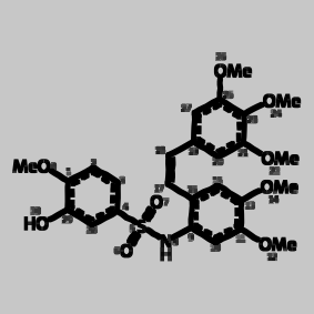 COc1ccc(S(=O)(=O)Nc2cc(OC)c(OC)cc2/C=C\c2cc(OC)c(OC)c(OC)c2)cc1O